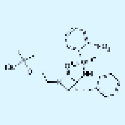 CC(C)(C)[Si](C)(C)OCCN1C[C@](Cc2ccccc2)(NS(=O)(=O)c2ccccc2[N+](=O)[O-])C1=O